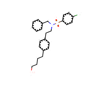 O=S(=O)(c1ccc(Cl)cc1)N(CCc1ccc(CCCCO)cc1)Cc1ccccc1